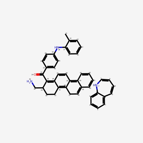 C1=CNc2ccccc2C=C1.Cc1ccccc1Nc1ccc(C(=O)C2=c3ccc4c(c3CCC2CN)CC=c2ccccc2=4)cc1